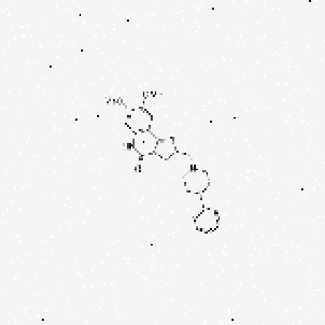 COc1cc2c(cc1OC)C1=NC(CN3CCN(c4ccccc4)CC3)CN1C(=O)N2